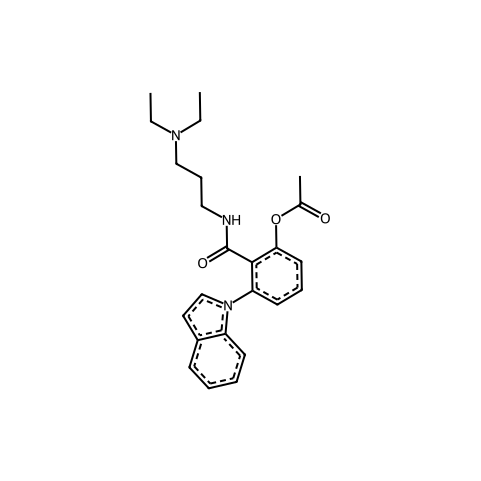 CCN(CC)CCCNC(=O)c1c(OC(C)=O)cccc1-n1ccc2ccccc21